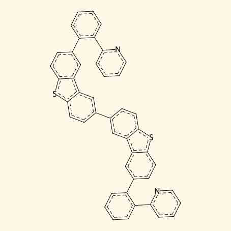 c1ccc(-c2ccccc2-c2ccc3sc4ccc(-c5ccc6sc7ccc(-c8ccccc8-c8ccccn8)cc7c6c5)cc4c3c2)nc1